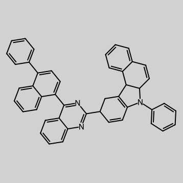 C1=CC(c2nc(-c3ccc(-c4ccccc4)c4ccccc34)c3ccccc3n2)CC2=C1N(c1ccccc1)C1C=Cc3ccccc3C21